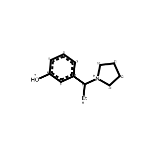 CCC(c1cccc(O)c1)N1CCCC1